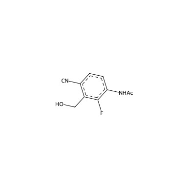 [C-]#[N+]c1ccc(NC(C)=O)c(F)c1CO